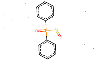 O=[SH]P(=O)(c1ccccc1)c1ccccc1